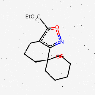 CCOC(=O)c1onc2c1CCC[C@@]21CCCCC12OCCO2